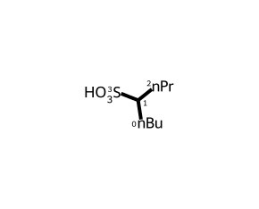 CCCCC(CCC)S(=O)(=O)O